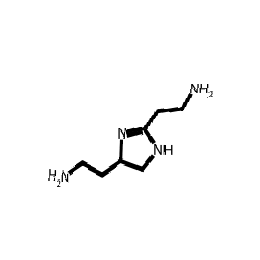 NCCC1=NC(CCN)CN1